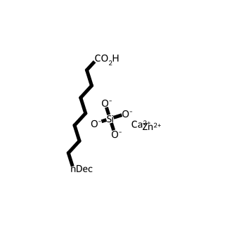 CCCCCCCCCCCCCCCCCC(=O)O.[Ca+2].[O-][Si]([O-])([O-])[O-].[Zn+2]